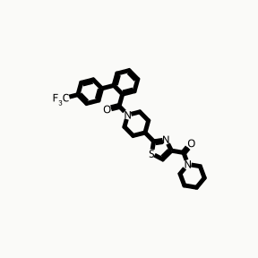 O=C(c1csc(C2CCN(C(=O)c3ccccc3-c3ccc(C(F)(F)F)cc3)CC2)n1)N1CCCCC1